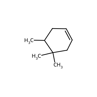 CC1CC=CCC1(C)C